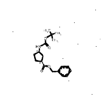 CC(C)(C)OC(=O)N[C@@H]1CC[C@H](C(=O)OCc2ccccc2)C1